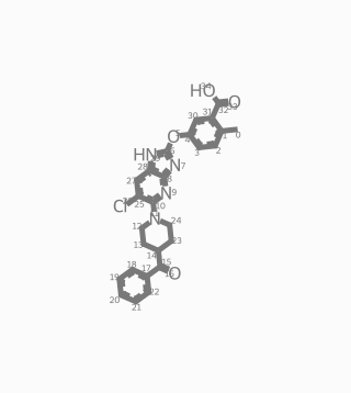 Cc1ccc(Oc2nc3nc(N4CCC(C(=O)c5ccccc5)CC4)c(Cl)cc3[nH]2)cc1C(=O)O